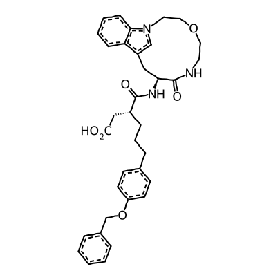 O=C(O)C[C@@H](CCCc1ccc(OCc2ccccc2)cc1)C(=O)N[C@H]1Cc2cn(c3ccccc23)CCOCCNC1=O